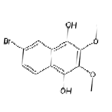 COc1c(OC)c(O)c2cc(Br)ccc2c1O